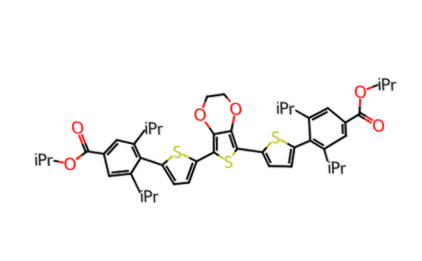 CC(C)OC(=O)c1cc(C(C)C)c(-c2ccc(-c3sc(-c4ccc(-c5c(C(C)C)cc(C(=O)OC(C)C)cc5C(C)C)s4)c4c3OCCO4)s2)c(C(C)C)c1